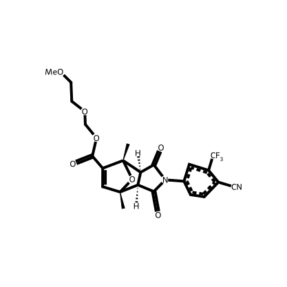 COCCOCOC(=O)C1=C[C@]2(C)O[C@@]1(C)[C@H]1C(=O)N(c3ccc(C#N)c(C(F)(F)F)c3)C(=O)[C@H]12